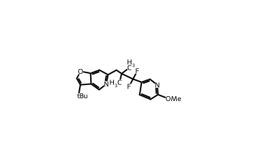 COc1ccc(C(F)(F)C(C)(C)Cc2cc3occ(C(C)(C)C)c3cn2)cn1